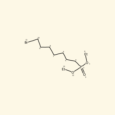 CCOP(=O)(CCCCCCCBr)OCC